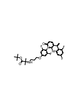 C=C(c1ccc(F)cc1F)c1ccc(=O)n(-c2c(F)cc(OCCCNC(C)(C)C(=O)OC(C)(C)C)cc2F)c1N